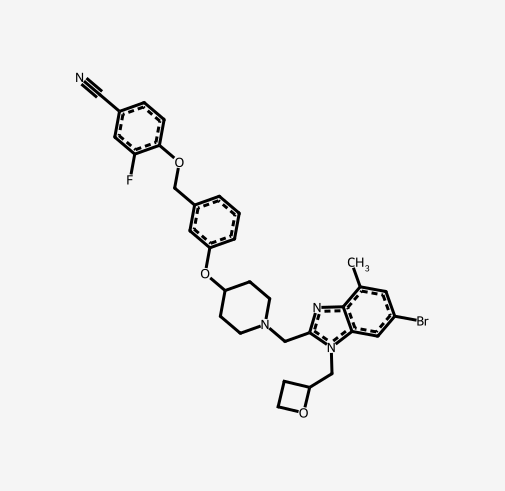 Cc1cc(Br)cc2c1nc(CN1CCC(Oc3cccc(COc4ccc(C#N)cc4F)c3)CC1)n2CC1CCO1